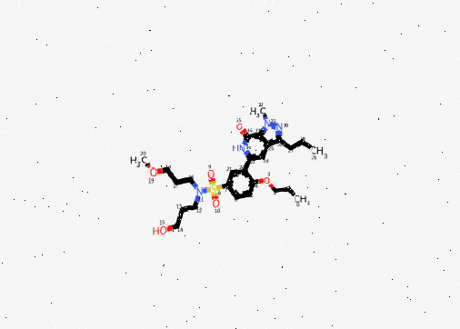 CCCOc1ccc(S(=O)(=O)N(CCCO)CCCOC)cc1-c1cc2c(CCC)nn(C)c2c(=O)[nH]1